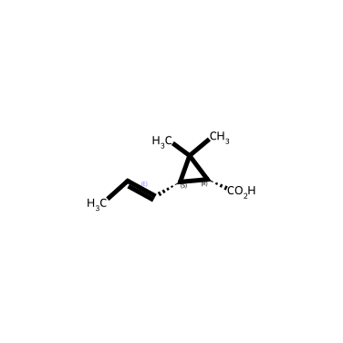 C/C=C/[C@H]1[C@@H](C(=O)O)C1(C)C